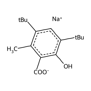 Cc1c(C(C)(C)C)cc(C(C)(C)C)c(O)c1C(=O)[O-].[Na+]